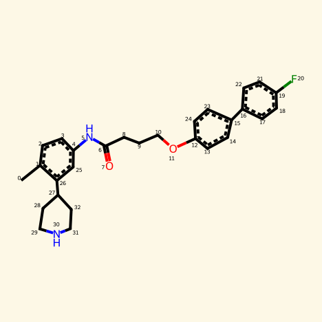 Cc1ccc(NC(=O)CCCOc2ccc(-c3ccc(F)cc3)cc2)cc1C1CCNCC1